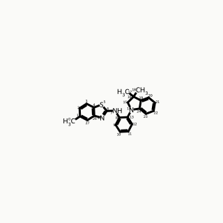 Cc1ccc2sc(Nc3ccccc3N3CC(C)(C)c4ccccc43)nc2c1